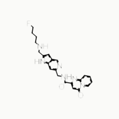 O=C(NCc1cc2[nH]c(CNCCCCF)cc2cn1)c1cc(=O)n2ccccc2n1